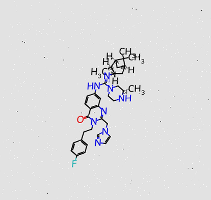 C[C@@H]1[C@@H](/N=C(/Nc2ccc3c(=O)n(CCc4ccc(F)cc4)c(Cn4ccnc4)nc3c2)N2CCN[C@@H](C)C2)C[C@H]2C[C@@H]1C2(C)C